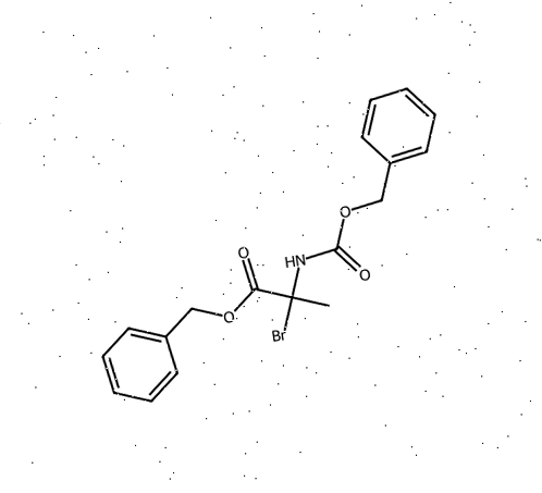 CC(Br)(NC(=O)OCc1ccccc1)C(=O)OCc1ccccc1